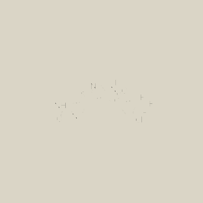 CNC(=O)c1cc(Sc2ccc(NS(=O)(=O)c3ccc(Cl)c(C(F)(F)F)c3)cn2)ccn1